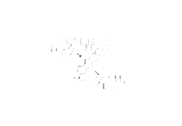 CC(C)[Si](C#Cc1c2cc3cc(C(C)(C)C)sc3cc2c(C#C[Si](C(C)C)(C(C)C)C(C)C)c2cc3ccsc3cc12)(C(C)C)C(C)C